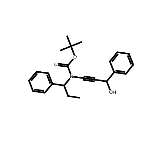 CCC(c1ccccc1)N(C#CC(O)c1ccccc1)C(=O)OC(C)(C)C